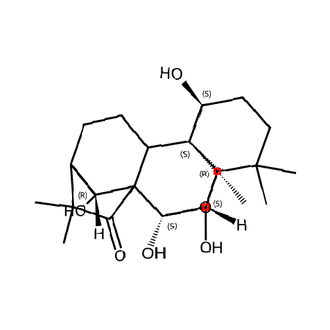 CC1(C)C(=O)C23C(CCC1[C@H]2O)[C@@]12CO[C@]3(O)[C@@H](O)[C@]1(C)C(C)(C)CC[C@@H]2O